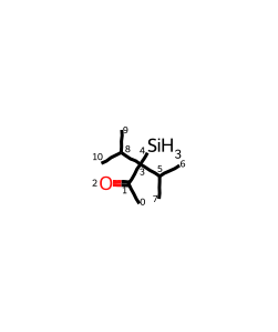 CC(=O)C([SiH3])(C(C)C)C(C)C